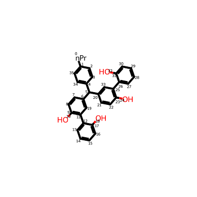 CCCc1ccc(C(c2ccc(O)c(-c3ccccc3O)c2)c2ccc(O)c(-c3ccccc3O)c2)cc1